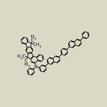 CC1(C)c2ccccc2-c2cc3c(cc21)-c1c(cc(N(c2ccccc2)c2cccc(-c4ccc5cc(-c6ccc(-c7ccc8cc(-c9ccccc9)ccc8c7)cc6)ccc5c4)c2)c2ccccc12)C3(C)C